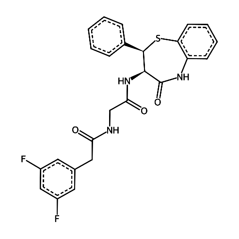 O=C(Cc1cc(F)cc(F)c1)NCC(=O)N[C@@H]1C(=O)Nc2ccccc2S[C@@H]1c1ccccc1